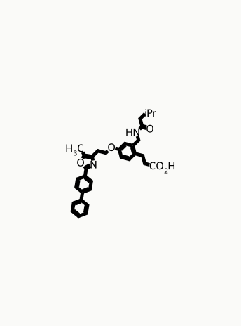 Cc1oc(-c2ccc(-c3ccccc3)cc2)nc1CCOc1ccc(CCC(=O)O)c(CNC(=O)CC(C)C)c1